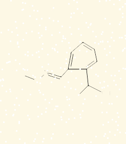 CO/N=C/c1ccccc1C(C)C